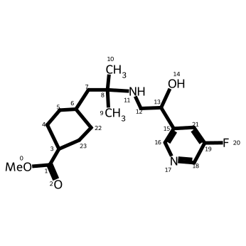 COC(=O)C1CCC(CC(C)(C)NCC(O)c2cncc(F)c2)CC1